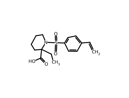 C=Cc1ccc(S(=O)(=O)N2CCCCC2(CC)C(=O)O)cc1